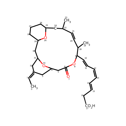 C/C=C1\CC2CC(=O)OC(/C=C/C=C\C=C\CC(=O)O)C(C)/C=C/C(C)CC3CCCC(CC(C1)O2)O3